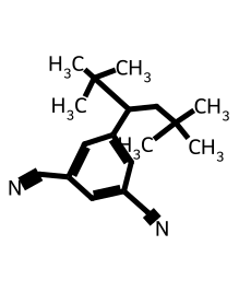 CC(C)(C)CC(c1cc(C#N)cc(C#N)c1)C(C)(C)C